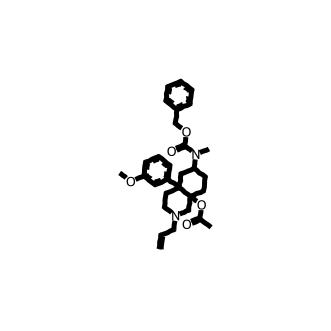 C=CCN1CCC2(c3cccc(OC)c3)CC(N(C)C(=O)OCc3ccccc3)CCC2(OC(C)=O)C1